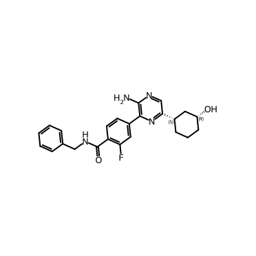 Nc1ncc([C@H]2CCC[C@@H](O)C2)nc1-c1ccc(C(=O)NCc2ccccc2)c(F)c1